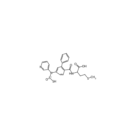 CSCCC(NC(=O)c1ccc(N(c2cccnc2)[S+]([O-])S)cc1-c1ccccc1)C(=O)O